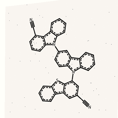 N#Cc1cc(-n2c3ccccc3c3cc(-n4c5ccccc5c5c(C#N)cccc54)ccc32)c2sc3ccccc3c2c1